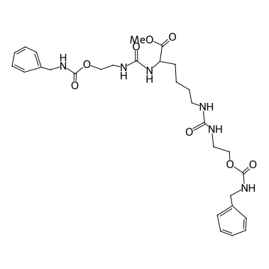 COC(=O)C(CCCCNC(=O)NCCOC(=O)NCc1ccccc1)NC(=O)NCCOC(=O)NCc1ccccc1